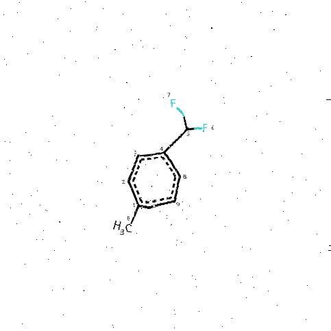 Cc1c[c]c(C(F)F)cc1